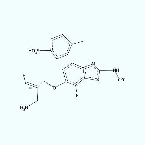 CCCNc1nc2ccc(OC/C(=C\F)CN)c(F)c2s1.Cc1ccc(S(=O)(=O)O)cc1